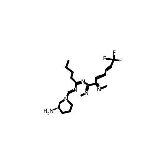 CCCCC(=N/C(=N\C)C(/C=C/C=C/C(F)(F)F)=N/C)/N=C/N1CCC[C@@H](N)C1